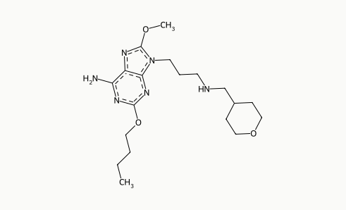 CCCCOc1nc(N)c2nc(OC)n(CCCNCC3CCOCC3)c2n1